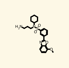 COc1cccc2nc(-c3cccc(S(=O)(=O)N(CCCN)C4CCCCC4)c3)oc12